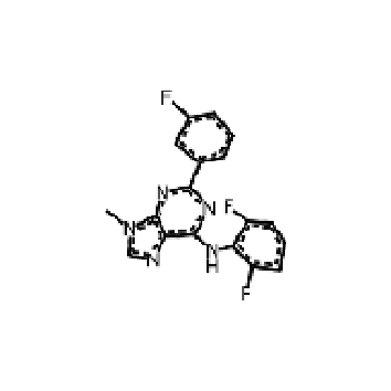 Cn1cnc2c(Nc3c(F)cccc3F)nc(-c3cccc(F)c3)nc21